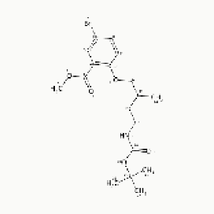 COC(=O)c1cc(Br)ccc1OCC(C)CCNC(=O)OC(C)(C)C